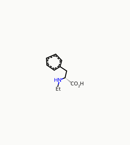 CCN[C@H](Cc1ccccc1)C(=O)O